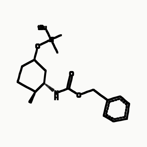 C[C@H]1CCC(O[Si](C)(C)C(C)(C)C)C[C@@H]1NC(=O)OCc1ccccc1